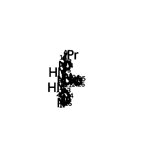 CC(C)Cc1cccc(Nc2nc(Nc3ccn4ccnc4c3)cc(N3CCCC3)n2)n1